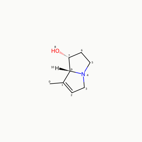 CC1=CCN2CC[C@@H](O)[C@@H]12